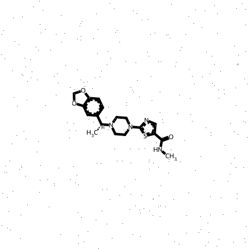 CNC(=O)c1cnc(N2CCN([C@H](C)c3ccc4c(c3)OCO4)CC2)s1